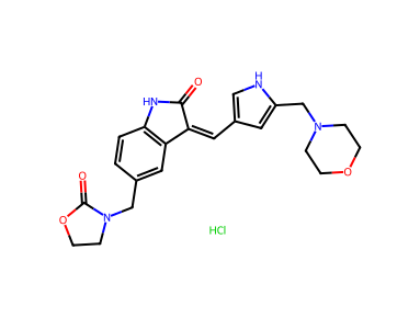 Cl.O=C1Nc2ccc(CN3CCOC3=O)cc2/C1=C/c1c[nH]c(CN2CCOCC2)c1